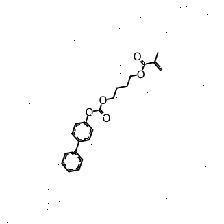 C=C(C)C(=O)OCCCCOC(=O)Oc1ccc(-c2ccccc2)cc1